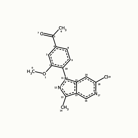 COc1cc(C(C)=O)ccc1-n1nc(C)c2cnc(Cl)cc21